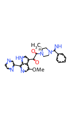 COc1cnc(-c2cnccn2)c2[nH]cc(C(=O)C(=O)N3CCN(C(=N)c4ccccc4)C[C@H]3C)c12